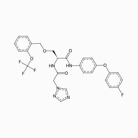 O=C(Cn1cncn1)N[C@@H](COCc1ccccc1OC(F)(F)F)C(=O)Nc1ccc(Oc2ccc(F)cc2)cc1